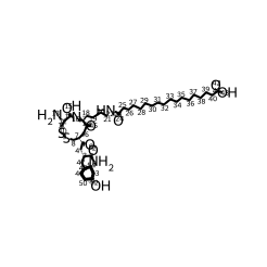 NC(=O)[C@@H](CC(=O)[C@@H]1CSSC[C@H](N)C(=O)N[C@@H](CCCCNC(=O)CCCCCCCCCCCCCCCCC(=O)O)C(=O)C1)Cc1ccc(O)cc1